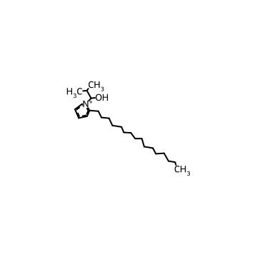 CCCCCCCCCCCCCCCCc1cccc[n+]1C(O)C(C)C